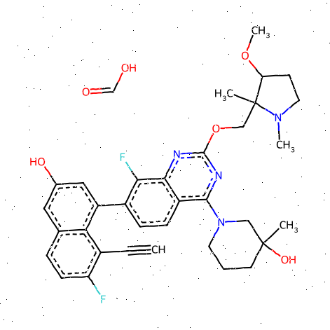 C#Cc1c(F)ccc2cc(O)cc(-c3ccc4c(N5CCCC(C)(O)C5)nc(OCC5(C)C(OC)CCN5C)nc4c3F)c12.O=CO